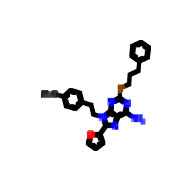 COc1ccc(CCn2c(-c3ccco3)nc3c(N)nc(SCCCc4ccccc4)nc32)cc1